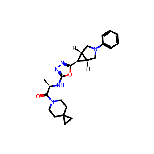 C[C@@H](Nc1nnc([C@H]2[C@@H]3CN(c4ccccc4)C[C@@H]32)o1)C(=O)N1CCC2(CC1)CC2